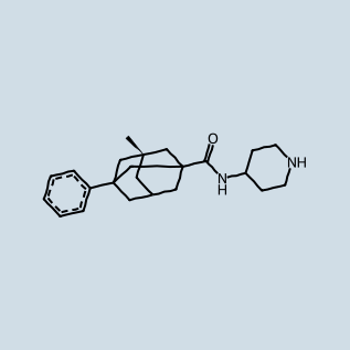 C[C@@]12CC3CC(C(=O)NC4CCNCC4)(CC(c4ccccc4)(C3)C1)C2